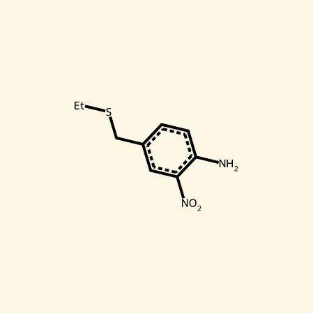 CCSCc1ccc(N)c([N+](=O)[O-])c1